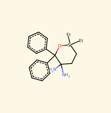 CC[Si]1(CC)CCC(N)(N)C(c2ccccc2)(c2ccccc2)O1